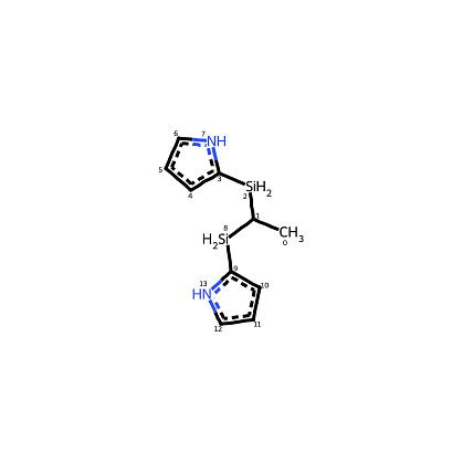 CC([SiH2]c1ccc[nH]1)[SiH2]c1ccc[nH]1